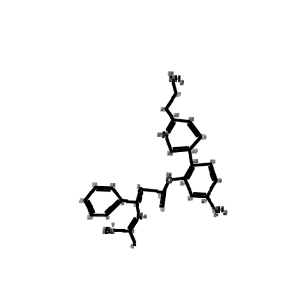 C=C(/C=C(\N=C(\C)C(C)CC)c1ccccc1)Oc1cc(N)ccc1-c1ccc(CCN)nc1